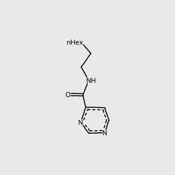 CCCCCCCCNC(=O)c1ccncn1